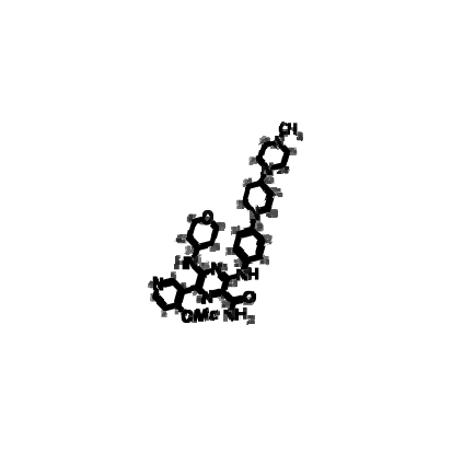 COc1ccncc1-c1nc(C(N)=O)c(Nc2ccc(N3CCC(N4CCN(C)CC4)CC3)cc2)nc1NC1CCOCC1